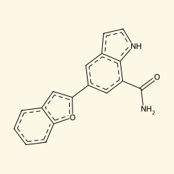 NC(=O)c1cc(-c2cc3ccccc3o2)cc2cc[nH]c12